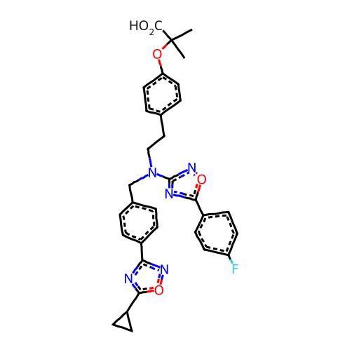 CC(C)(Oc1ccc(CCN(Cc2ccc(-c3noc(C4CC4)n3)cc2)c2noc(-c3ccc(F)cc3)n2)cc1)C(=O)O